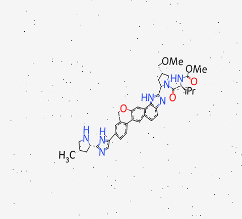 COC[C@H]1CC(c2nc3ccc4cc5c(cc4c3[nH]2)OCc2cc(-c3cnc([C@@H]4C[C@H](C)CN4)[nH]3)ccc2-5)N(C(=O)[C@@H](NC(=O)OC)C(C)C)C1